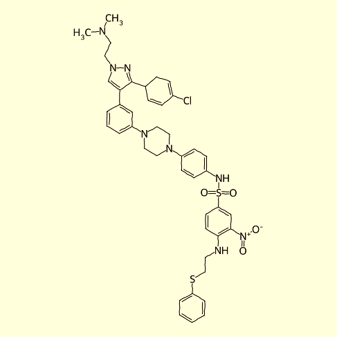 CN(C)CCn1cc(-c2cccc(N3CCN(c4ccc(NS(=O)(=O)c5ccc(NCCSc6ccccc6)c([N+](=O)[O-])c5)cc4)CC3)c2)c(C2C=CC(Cl)=CC2)n1